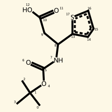 CC(C)(C)OC(=O)NC(CC(=O)O)c1cccs1